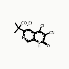 CCOC(=O)C(C)(C)c1cc2c(Cl)c(C#N)c(=O)[nH]c2cn1